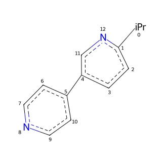 CC(C)c1ccc(-c2ccncc2)cn1